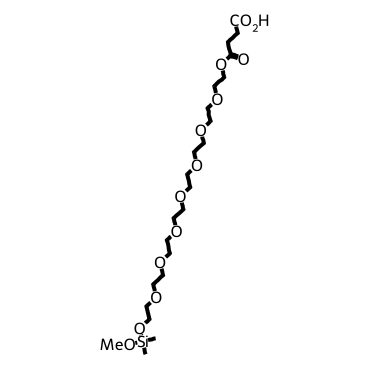 CO[Si](C)(C)OCCOCCOCCOCCOCCOCCOCCOCCOC(=O)CCC(=O)O